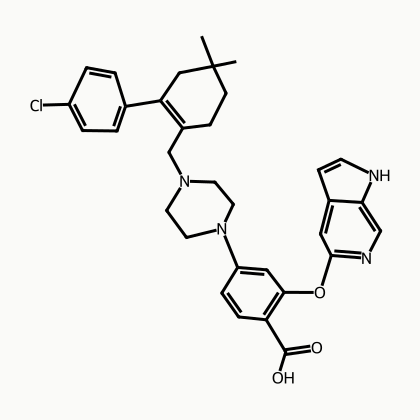 CC1(C)CCC(CN2CCN(c3ccc(C(=O)O)c(Oc4cc5cc[nH]c5cn4)c3)CC2)=C(c2ccc(Cl)cc2)C1